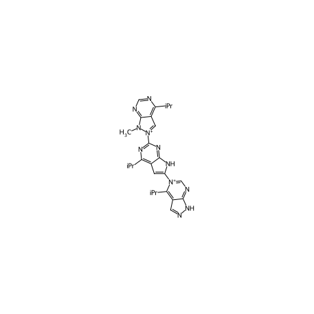 CC(C)c1nc(-[n+]2cc3c(C(C)C)ncnc3n2C)nc2[nH]c(-[n+]3cnc4[nH]ncc4c3C(C)C)cc12